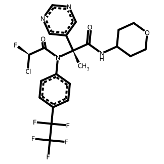 C[C@](C(=O)NC1CCOCC1)(c1cncnc1)N(C(=O)[C@H](F)Cl)c1ccc(C(F)(F)C(F)(F)F)cc1